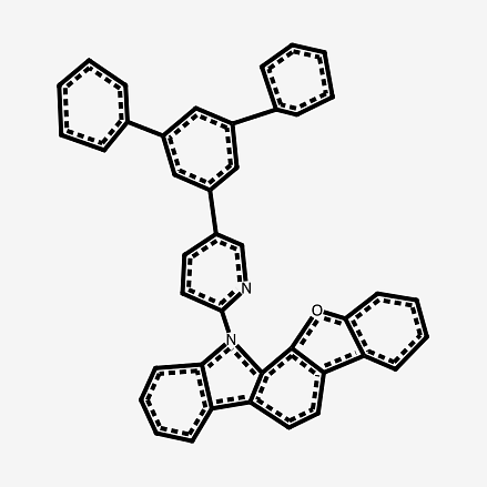 c1ccc(-c2cc(-c3ccccc3)cc(-c3ccc(-n4c5ccccc5c5ccc6c7ccccc7oc6c54)nc3)c2)cc1